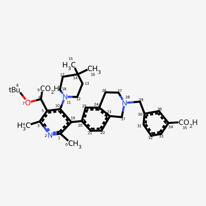 Cc1nc(C)c(C(OC(C)(C)C)C(=O)O)c(N2CCC(C)(C)CC2)c1-c1ccc2c(c1)CCN(Cc1cccc(C(=O)O)c1)C2